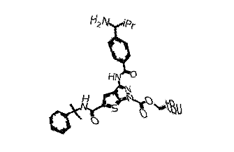 CC(C)C(N)c1ccc(C(=O)Nc2nn(C(=O)OCC(C)(C)C)c3sc(C(=O)NC(C)(C)c4ccccc4)cc23)cc1